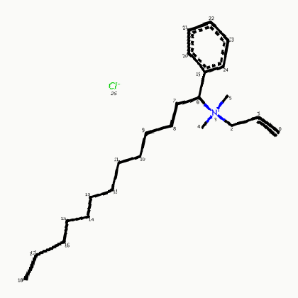 C=CC[N+](C)(C)C(CCCCCCCCCCCC)c1ccccc1.[Cl-]